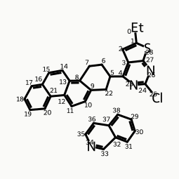 CCc1cc2c(C3CCc4c(ccc5c4ccc4ccccc45)C3)nc(Cl)nc2s1.c1ccc2cnccc2c1